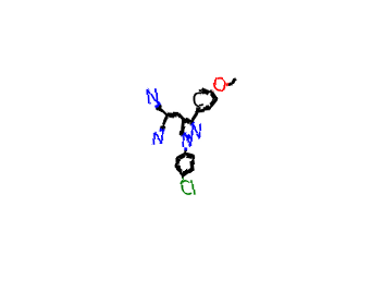 CCOc1ccc(-c2nn(-c3ccc(Cl)cc3)cc2C=C(C#N)C#N)cc1